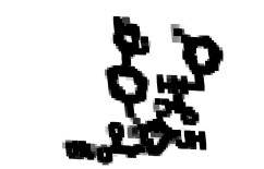 CC(C)(C)OC(=O)CN1C[C@H](O)[C@@H](OC(=O)NCc2cccc(F)c2)[C@H]1Cc1ccc(-c2cnco2)cc1